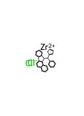 C1=CCC(C(c2ccccc2)C2c3ccccc3-c3ccc4ccccc4c32)=C1.[Cl-].[Cl-].[Zr+2]